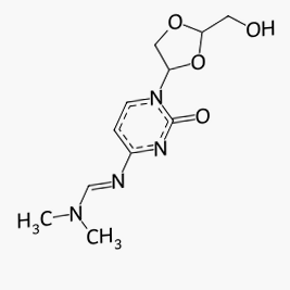 CN(C)/C=N/c1ccn(C2COC(CO)O2)c(=O)n1